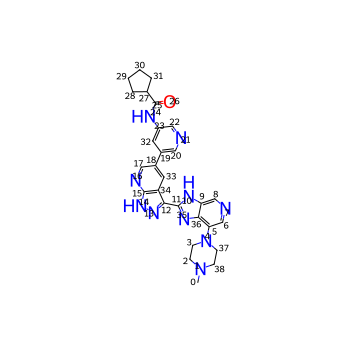 CN1CCN(c2cncc3[nH]c(-c4n[nH]c5ncc(-c6cncc(NC(=O)C7CCCC7)c6)cc45)nc23)CC1